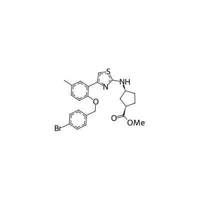 COC(=O)[C@@H]1CC[C@H](Nc2nc(-c3cc(C)ccc3OCc3ccc(Br)cc3)cs2)C1